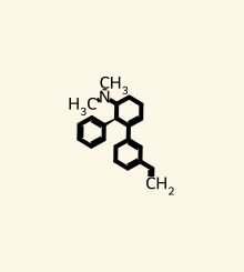 C=CC1=CCCC(C2=CCCC(N(C)C)[C@@H]2c2ccccc2)=C1